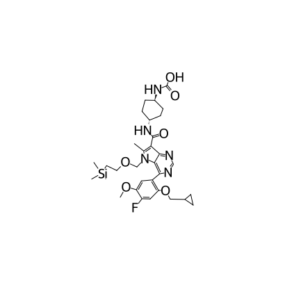 COc1cc(-c2ncnc3c(C(=O)N[C@H]4CC[C@H](NC(=O)O)CC4)c(C)n(COCC[Si](C)(C)C)c23)c(OCC2CC2)cc1F